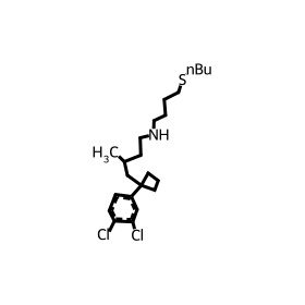 CCCCSCCCCNCCC(C)CC1(c2ccc(Cl)c(Cl)c2)CCC1